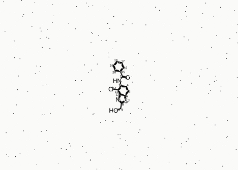 O=C(Nc1ccc2sc(CO)nc2c1Cl)c1ccccc1